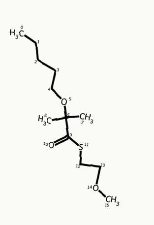 CCCCCOC(C)(C)C(=O)SCCOC